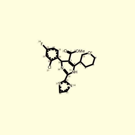 COC(=O)C1=C(C2CCCOC2)NC(c2nccs2)=NC1c1ccc(F)cc1Cl